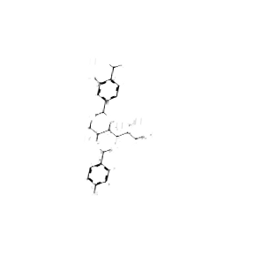 CC(C)c1ccc(C2OC[C@@H]3OC(c4ccc(Cl)cc4)O[C@H]([C@H](O)CO)[C@@H]3O2)cc1Br